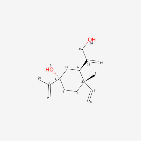 C=C[C@]1(C)CC[C@@](O)(C(=C)C)C[C@H]1C(=C)CO